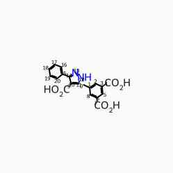 Cc1cc(C(=O)O)cc(C(=O)O)c1.O=C(O)c1c[nH]nc1-c1ccccc1